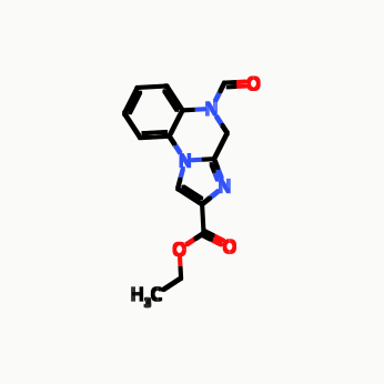 CCOC(=O)c1cn2c(n1)CN(C=O)c1ccccc1-2